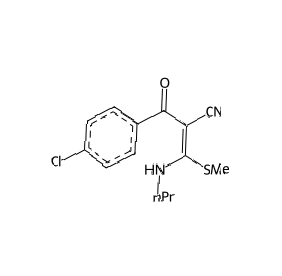 CCCNC(SC)=C(C#N)C(=O)c1ccc(Cl)cc1